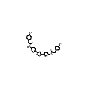 N#Cc1ccc(CC(=O)Nc2ccc(C3CCC(c4ccc(NC(=O)Cc5ccc(C#N)cc5)nn4)C3)nn2)cc1